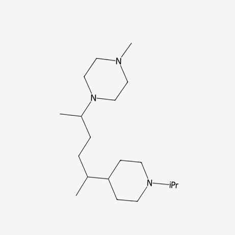 CC(CCC(C)N1CCN(C)CC1)C1CCN(C(C)C)CC1